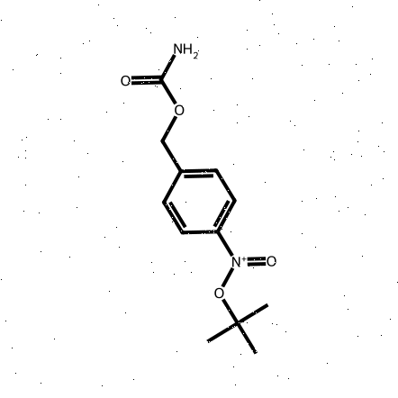 CC(C)(C)O[N+](=O)c1ccc(COC(N)=O)cc1